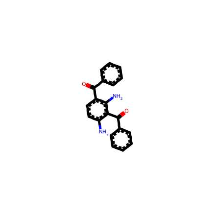 Nc1ccc(C(=O)c2ccccc2)c(N)c1C(=O)c1ccccc1